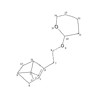 CC1(C)C2CC=C(CCOC3CCCCO3)C1C2